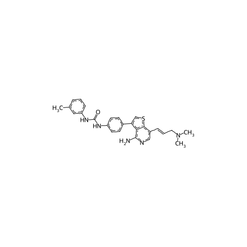 Cc1cccc(NC(=O)Nc2ccc(-c3csc4c(C=CCN(C)C)cnc(N)c34)cc2)c1